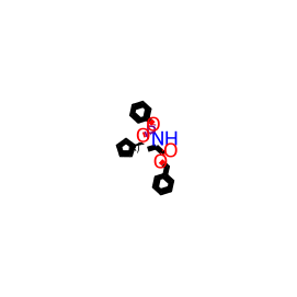 CC(NP(OC[C@H]1C=CCC1)Oc1ccccc1)C(=O)OCc1ccccc1